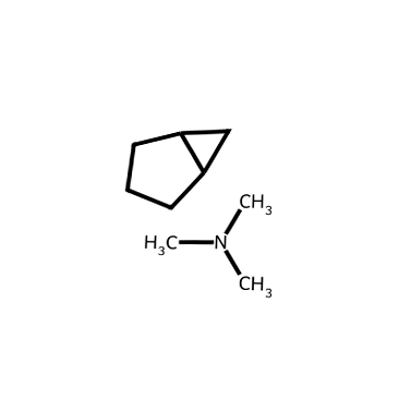 C1CC2CC2C1.CN(C)C